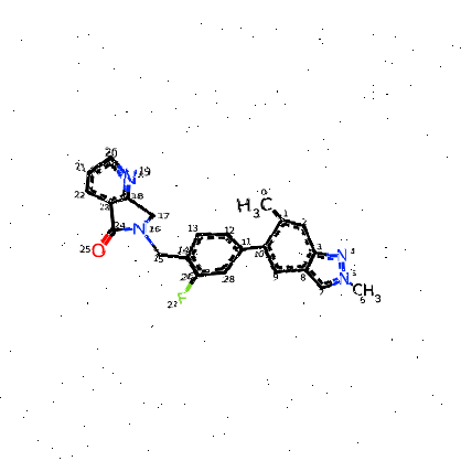 Cc1cc2nn(C)cc2cc1-c1ccc(CN2Cc3ncccc3C2=O)c(F)c1